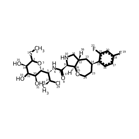 CSC1O[C@H]([C@H](NC(=O)[C@H]2NC[C@@H]3C[C@@H](c4ccc(F)cc4F)CCO[C@H]32)[C@H](C)Cl)[C@@H](O)C(O)[C@H]1O